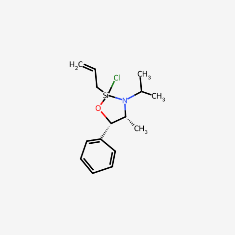 C=CC[Si]1(Cl)O[C@@H](c2ccccc2)[C@@H](C)N1C(C)C